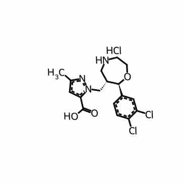 Cc1cc(C(=O)O)n(C[C@@H]2CNCCO[C@H]2c2ccc(Cl)c(Cl)c2)n1.Cl